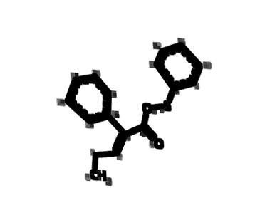 CCC=C(C(=O)OSc1ccccc1)c1ccccc1